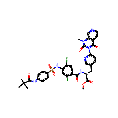 COC(=O)[C@H](Cc1ccc(-n2c(=O)c3ccncc3n(C)c2=O)nc1)NC(=O)c1cc(F)c(NS(=O)(=O)c2ccc(NC(=O)C(C)(C)C)cc2)cc1F